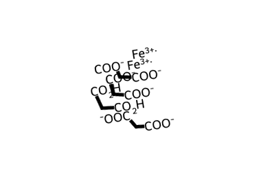 O=C(O)CC(=O)O.O=C([O-])CC(=O)[O-].O=C([O-])CC(=O)[O-].O=C([O-])CC(=O)[O-].[Fe+3].[Fe+3]